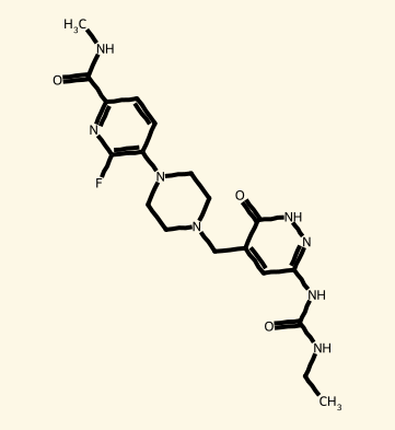 CCNC(=O)Nc1cc(CN2CCN(c3ccc(C(=O)NC)nc3F)CC2)c(=O)[nH]n1